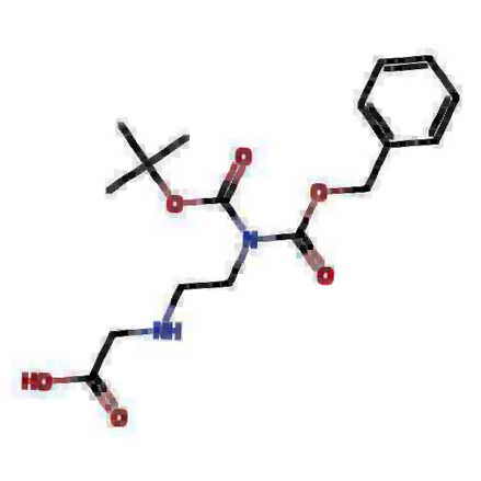 CC(C)(C)OC(=O)N(CCNCC(=O)O)C(=O)OCc1ccccc1